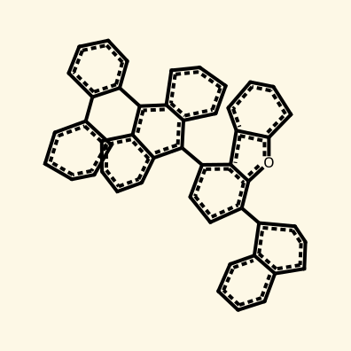 c1ccc(-c2ccccc2-c2c3ccccc3c(-c3ccc(-c4cccc5ccccc45)c4oc5ccccc5c34)c3ccccc23)cc1